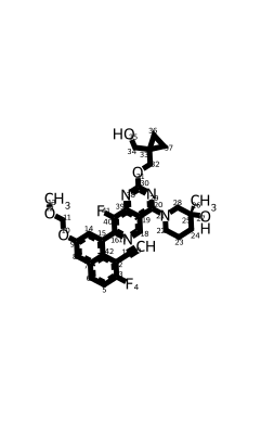 C#Cc1c(F)ccc2cc(OCOC)cc(-c3ncc4c(N5CCC[C@@](C)(O)C5)nc(OCC5(CO)CC5)nc4c3F)c12